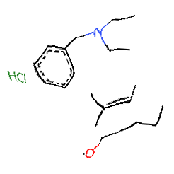 CC=C(C)C.CCCCC[O].CCN(CC)Cc1ccccc1.Cl